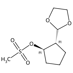 CS(=O)(=O)O[C@@H]1CCC[C@H]1C1OCCO1